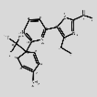 CCc1nc(NC)sc1-c1ccnc(C2(C(F)(F)F)C=CC(N)=CC2)n1